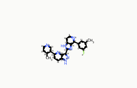 Cc1cc(F)cc(-c2nccc3[nH]c(-c4n[nH]c5ccc(-c6cnccc6C)nc45)nc23)c1